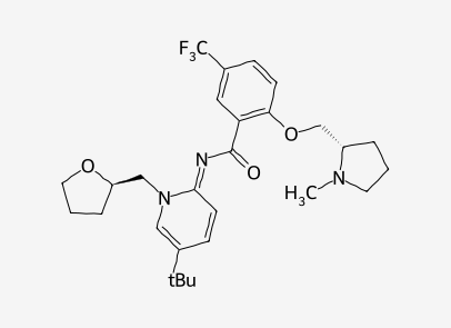 CN1CCC[C@H]1COc1ccc(C(F)(F)F)cc1C(=O)/N=c1\ccc(C(C)(C)C)cn1C[C@H]1CCCO1